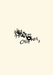 [2H]C([2H])([2H])N1CCN(c2cc(OC)c(N)cc2Cl)CC1